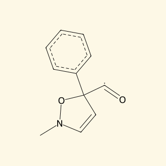 CN1C=CC([C]=O)(c2ccccc2)O1